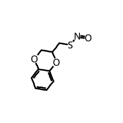 O=NSCC1COc2ccccc2O1